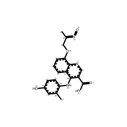 CCCC(=O)c1cnc2c(OCC(C)=S=O)cccc2c1Nc1ccc(O)cc1C